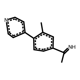 CC(=N)c1ccc(-c2ccncc2)c(C)c1